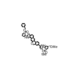 COC[C@H]1C[C@@H](c2ncc(-c3ccc4c(c3)COc3cc5c(ccc6nc([C@@H]7CCCN7C(=O)OCc7ccccc7)[nH]c65)cc3-4)[nH]2)N(C(=O)OC(C)(C)C)C1